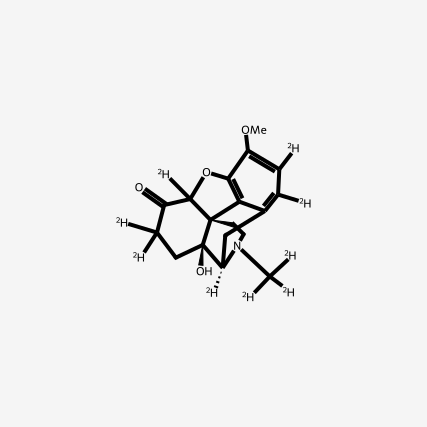 [2H]c1c([2H])c(OC)c2c3c1C[C@@]1([2H])N(C([2H])([2H])[2H])CC[C@@]34C([2H])(O2)C(=O)C([2H])([2H])C[C@@]14O